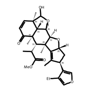 CCc1cocc1[C@@H]1C[C@H]2O[C@@H]3[C@@H]4OC(O)[C@]5(C)C=CC(=O)[C@](C)([C@@H](C(C)C(=O)OC)[C@]3(C)C2=C1C)[C@@H]45